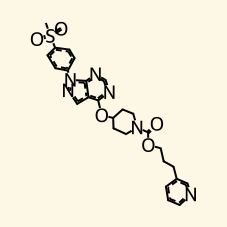 CS(=O)(=O)c1ccc(-n2ncc3c(OC4CCN(C(=O)OCCCc5cccnc5)CC4)ncnc32)cc1